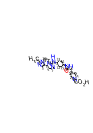 Cc1ncc(-c2ccnc(NC3CCC(NC(=O)CC4CCN(C(=O)O)CC4)CC3)n2)n1C(C)C